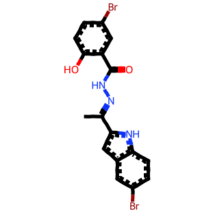 C/C(=N\NC(=O)c1cc(Br)ccc1O)c1cc2cc(Br)ccc2[nH]1